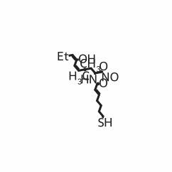 CC/C=C(O)\C=C/C(C)(C)CC(NC(=O)/C=C/CCCCS)C(=O)N=O